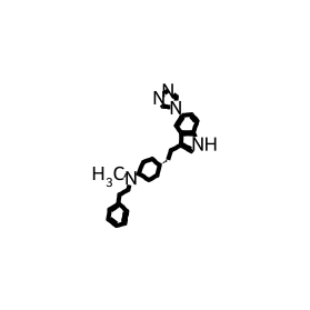 CN(CCc1ccccc1)[C@H]1CC[C@@H](CCc2c[nH]c3ccc(-n4cnnc4)cc23)CC1